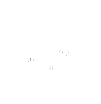 O=C(O)C(Cl)(C(Cl)Cl)C(Cl)(Cl)Cl